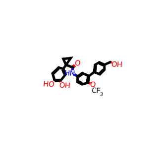 O=C(Nc1ccc(OC(F)(F)F)c(-c2ccc(CO)cc2)c1)C1(c2ccc(O)c(O)c2)CC1